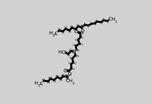 CCCCCCCCCC(CCCCCCCC)OC(=O)CCCCCN(CCO)CCCCCC(=O)OC(C)CCCCCCCC